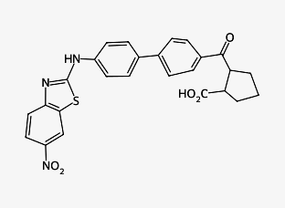 O=C(O)C1CCCC1C(=O)c1ccc(-c2ccc(Nc3nc4ccc([N+](=O)[O-])cc4s3)cc2)cc1